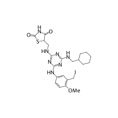 COc1ccc(Nc2nc(NCC3CCCCC3)nc(NCC3SC(=O)NC3=O)n2)cc1CI